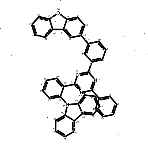 c1ccc(-c2nc(-c3cccc(-c4ccc5oc6ccccc6c5c4)c3)nc(-c3ccccc3-n3c4ccccc4c4ccccc43)n2)cc1